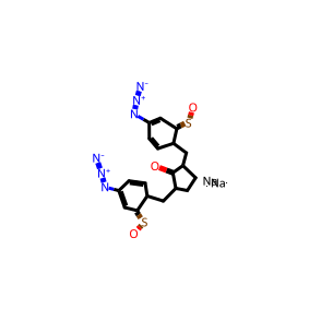 [N-]=[N+]=NC1=CC(=S=O)C(CC2CCC(CC3C=CC(N=[N+]=[N-])=CC3=S=O)C2=O)C=C1.[Na].[Na]